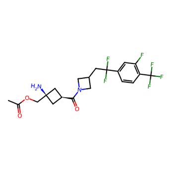 CC(=O)OC[C@]1(N)C[C@@H](C(=O)N2CC(CC(F)(F)c3ccc(C(F)(F)F)c(F)c3)C2)C1